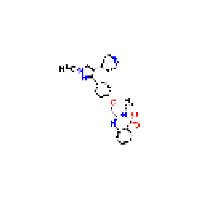 CN1C(COc2ccc(-c3nn([11CH3])cc3-c3ccncc3)cc2)=Nc2ccccc2S1(=O)=O